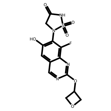 O=C1CN(c2c(O)cc3cnc(OC4COC4)nc3c2F)S(=O)(=O)N1